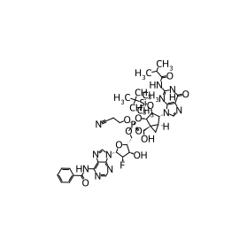 CC(C)C(=O)Nc1nc2c(ncn2[C@H]2[C@H](O[Si](C)(C)C(C)(C)C)[C@H](OP(=O)(OCCC#N)OC[C@H]3O[C@@H](n4cnc5c(NC(=O)c6ccccc6)ncnc54)[C@H](F)[C@@H]3O)[C@@]3(CO)C[C@H]23)c(=O)[nH]1